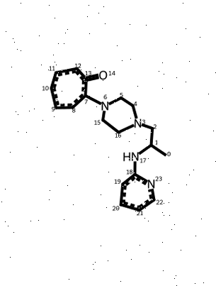 CC(CN1CCN(c2cccccc2=O)CC1)Nc1ccccn1